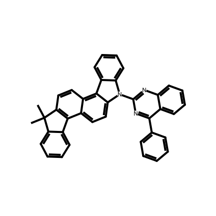 CC1(C)c2ccccc2-c2c1ccc1c2ccc2c1c1ccccc1n2-c1nc(-c2ccccc2)c2ccccc2n1